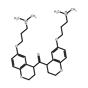 [CH3][SnH]([CH3])[CH2]CCOc1ccc2c(c1)C(C(=O)C1CCOc3ccc(OCC[CH2][SnH]([CH3])[CH3])cc31)CCO2